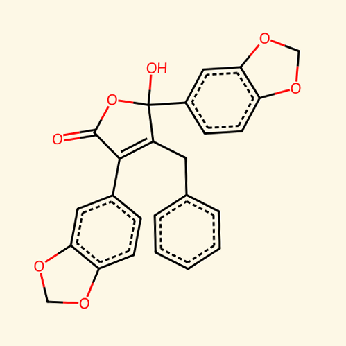 O=C1OC(O)(c2ccc3c(c2)OCO3)C(Cc2ccccc2)=C1c1ccc2c(c1)OCO2